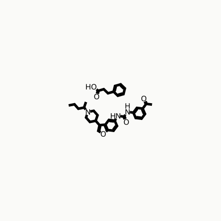 CCCC(C)N1CCC(c2coc3ccc(NC(=O)Nc4cccc(C(C)=O)c4)cc23)CC1.O=C(O)CCc1ccccc1